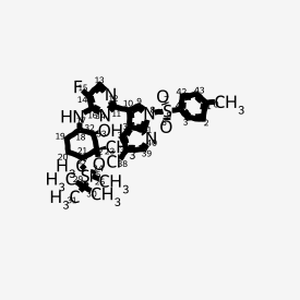 Cc1ccc(S(=O)(=O)n2cc(-c3ncc(F)c(NC4CCC[C@@](C)(O[Si](C)(C)C(C)(C)C)[C@@H]4O)n3)c3cc(Cl)cnc32)cc1